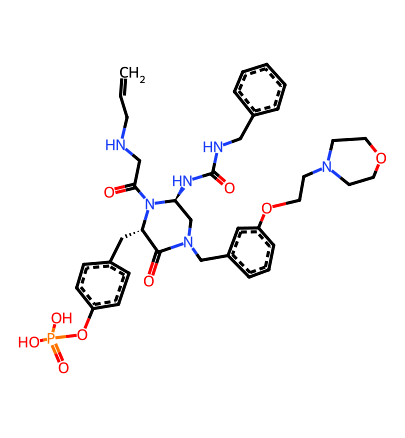 C=CCNCC(=O)N1[C@@H](NC(=O)NCc2ccccc2)CN(Cc2cccc(OCCN3CCOCC3)c2)C(=O)[C@@H]1Cc1ccc(OP(=O)(O)O)cc1